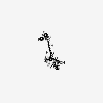 Cc1ncsc1-c1ccc(CNC(=O)C2C[C@@H](O)CN2C(=O)[C@@H](NC(=O)C2(F)CC2)C(C)(C)C)c(OCC(=O)NCCCCNCCCONC(=O)c2ccc(F)c(F)c2Nc2ccc(I)cc2F)c1